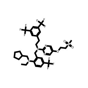 CCN(CC1CCCC1)c1ccc(C(F)(F)F)cc1CN(CCc1cc(C(F)(F)F)cc(C(F)(F)F)c1)c1ncc(OCCS(C)(=O)=O)cn1